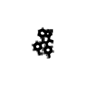 C=C(c1c[nH]c2ccccc12)C(Nc1cccc(S)c1)c1ccc(C)cc1